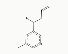 C=CCC(I)c1cncc(C)c1